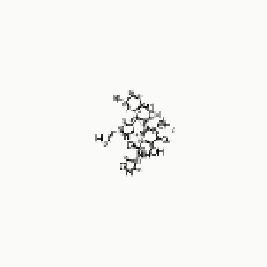 CCn1cc([C@@H](c2cc(F)ccc2Cl)[C@H](C)c2nc(C(=O)Nc3cnoc3)c(O)c(=O)n2C)cn1